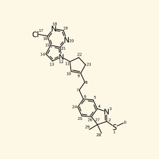 CSC1=Nc2cc(CCC3=CC(n4ccc5c(Cl)ncnc54)CC3)ccc2C1(C)C